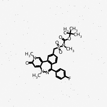 CN1N=C(c2ccc(F)cc2)c2ccc(CS(=O)(=O)N(C)C(=O)OC(C)(C)C)cc2-c2cn(C)c(=O)cc21